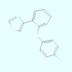 Clc1ccc(Oc2ccccc2-c2cscn2)cc1